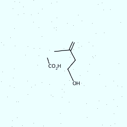 C=C(C)CCO.CC(=O)O